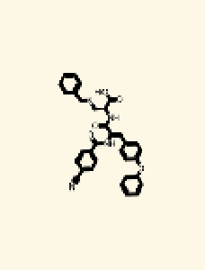 N#Cc1ccc(C(=O)N/C(=C\c2ccc(Oc3ccccc3)cc2)C(=O)N[C@@H](CSCc2ccccc2)C(=O)O)cc1